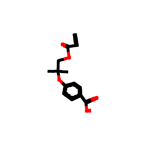 C=CC(=O)OCC(C)(C)Oc1ccc(C(=O)O)cc1